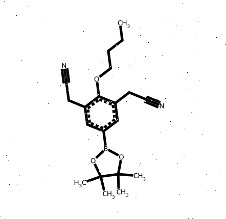 CCCCOc1c(CC#N)cc(B2OC(C)(C)C(C)(C)O2)cc1CC#N